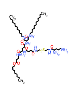 CCCCCC/C=C\COC(=O)CCCNC(=O)C(CCC(=O)NC(CC(=O)NCCCCCCCCCCCC)C(=O)NCCCCCCCCCCCC)NC(=O)CCC(=O)NCCSSCCNC(=O)C(N)CCCN